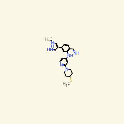 CN/C=C(\C=N)c1ccc(C=N)c(Nc2ccnc(N3CCC(SC)CC3)c2)c1